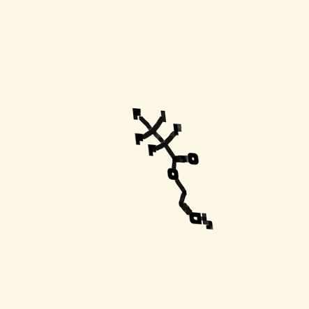 C=CCOC(=O)C(F)(F)C(F)(F)I